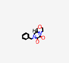 O=C1C(=O)N2CCOC[C@@H]2CN1Cc1ccccc1